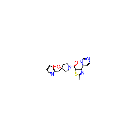 Cc1nc(-c2ccncn2)c(C(=O)N2CCC(O)(Cc3ccccn3)CC2)s1